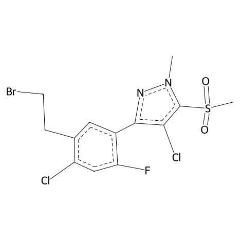 Cn1nc(-c2cc(CCBr)c(Cl)cc2F)c(Cl)c1S(C)(=O)=O